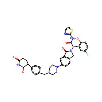 O=C1CCC(c2ccc(CN3CCN(c4ccc5c(c4)C(=O)N(C(C(=O)Nc4nccs4)c4cc(F)ccc4O)C5)CC3)cc2)C(=O)N1